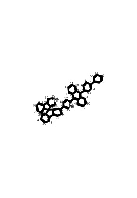 c1ccc(-c2ccc(-c3c4ccccc4c(-c4ccc(-c5ccc6c(c5)C5(c7ccccc7-c7ccncc75)c5ccccc5-6)cn4)c4ccccc34)cc2)cc1